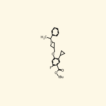 CC(c1ccccc1)N1CC(COc2cc(F)c(C(=O)OC(C)(C)C)cc2C2CC2)C1